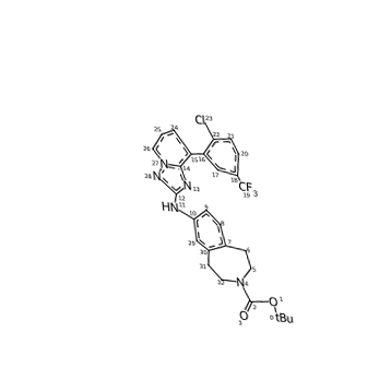 CC(C)(C)OC(=O)N1CCc2ccc(Nc3nc4c(-c5cc(C(F)(F)F)ccc5Cl)cccn4n3)cc2CC1